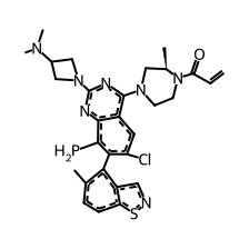 C=CC(=O)N1CCN(c2nc(N3CC(N(C)C)C3)nc3c(P)c(-c4c(C)ccc5sncc45)c(Cl)cc23)C[C@H]1C